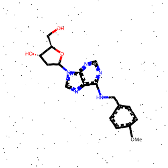 COc1ccc(CNc2ncnc3c2ncn3C2C[C@H](O)[C@@H](CO)O2)cc1